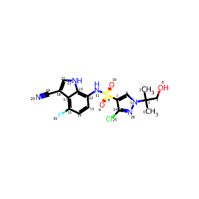 CC(C)(CO)n1cc(S(=O)(=O)Nc2ccc(F)c3c(C#N)c[nH]c23)c(Cl)n1